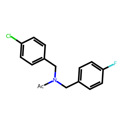 CC(=O)N(Cc1ccc(F)cc1)Cc1ccc(Cl)cc1